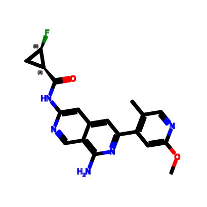 COc1cc(-c2cc3cc(NC(=O)[C@H]4C[C@H]4F)ncc3c(N)n2)c(C)cn1